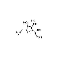 Cl.NC[C@H]1O[C@H]([C@H](O)CO)[C@H](O)[C@@H]1O